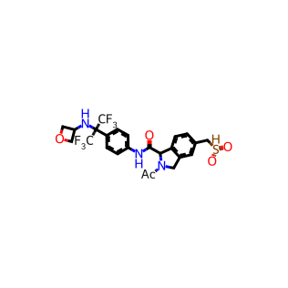 CC(=O)N1Cc2cc(C[SH](=O)=O)ccc2C1C(=O)Nc1ccc(C(NC2COC2)(C(F)(F)F)C(F)(F)F)cc1